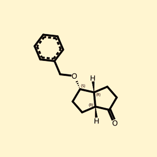 O=C1CC[C@H]2[C@@H](OCc3ccccc3)CC[C@@H]12